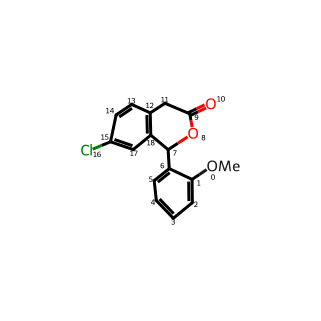 COc1ccccc1C1OC(=O)Cc2ccc(Cl)cc21